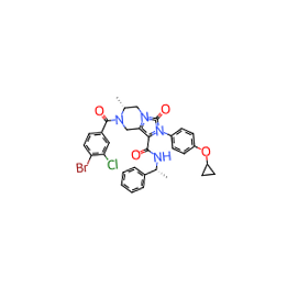 C[C@@H]1Cn2c(c(C(=O)N[C@H](C)c3ccccc3)n(-c3ccc(OC4CC4)cc3)c2=O)CN1C(=O)c1ccc(Br)c(Cl)c1